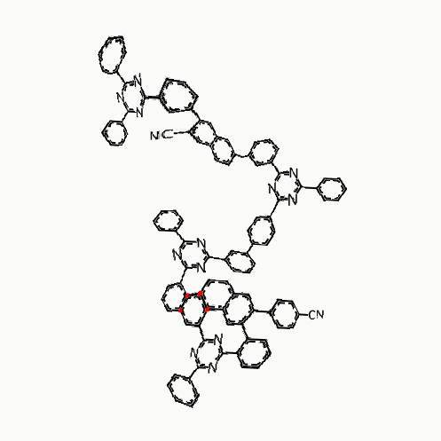 N#Cc1ccc(-c2cc3ccc(-c4ccccc4-c4nc(-c5ccccc5)nc(-c5cccc(-c6ccc(-c7nc(-c8ccccc8)nc(-c8cccc(-c9ccc%10cc(C#N)c(-c%11cccc(-c%12nc(-c%13ccccc%13)nc(-c%13ccccc%13)n%12)c%11)cc%10c9)c8)n7)cc6)c5)n4)cc3cc2-c2ccccc2-c2nc(-c3ccccc3)nc(-c3ccccc3)n2)cc1